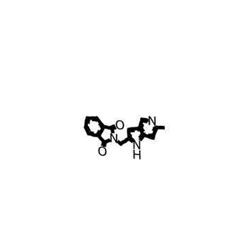 Cc1cc2[nH]c(CN3C(=O)c4ccccc4C3=O)cc2cn1